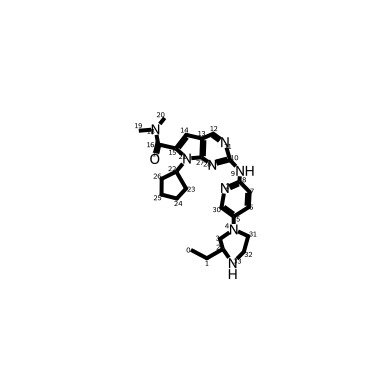 CCC1CN(c2ccc(Nc3ncc4cc(C(=O)N(C)C)n(C5CCCC5)c4n3)nc2)CCN1